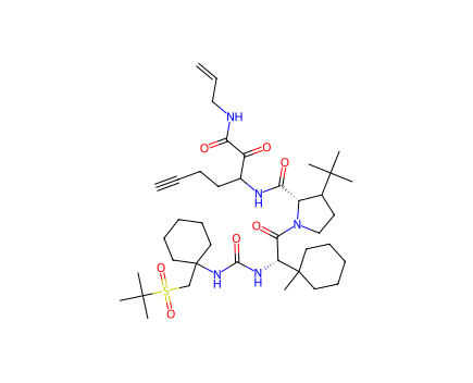 C#CCCC(NC(=O)[C@@H]1C(C(C)(C)C)CCN1C(=O)[C@@H](NC(=O)NC1(CS(=O)(=O)C(C)(C)C)CCCCC1)C1(C)CCCCC1)C(=O)C(=O)NCC=C